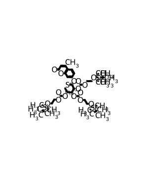 Cc1cc(=O)oc2cc(O[C@@H]3SC[C@@H](OC(=O)OCCO[Si](C)(C)C(C)(C)C)[C@H](OC(=O)OCCO[Si](C)(C)C(C)(C)C)[C@H]3OC(=O)OCCO[Si](C)(C)C(C)(C)C)ccc12